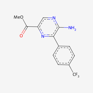 COC(=O)c1cnc(N)c(-c2ccc(C(F)(F)F)cc2)n1